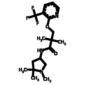 CN1CC(NC(=O)C(C)(C)COc2ncccc2C(F)(F)F)CC1(C)C